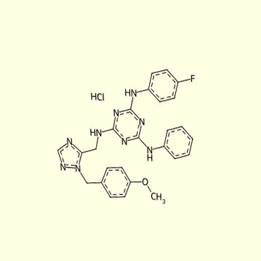 COc1ccc(Cn2ncnc2CNc2nc(Nc3ccccc3)nc(Nc3ccc(F)cc3)n2)cc1.Cl